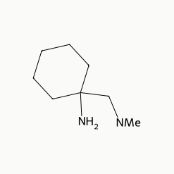 CNCC1(N)CCCCC1